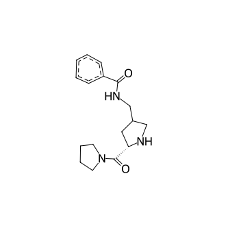 O=C(NCC1CN[C@H](C(=O)N2CCCC2)C1)c1ccccc1